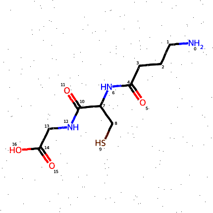 NCCCC(=O)NC(CS)C(=O)NCC(=O)O